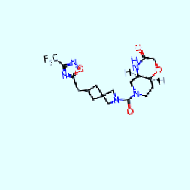 O=C1CO[C@H]2CCN(C(=O)N3CC4(CC(Cc5nc(C(F)(F)F)no5)C4)C3)C[C@H]2N1